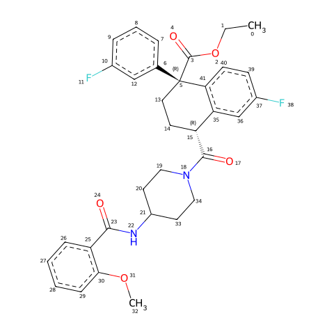 CCOC(=O)[C@@]1(c2cccc(F)c2)CC[C@@H](C(=O)N2CCC(NC(=O)c3ccccc3OC)CC2)c2cc(F)ccc21